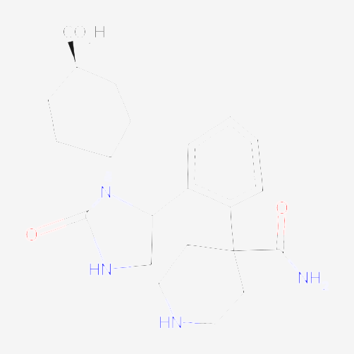 NC(=O)C1(c2ccccc2C2CNC(=O)N2[C@H]2CC[C@H](C(=O)O)CC2)CCNCC1